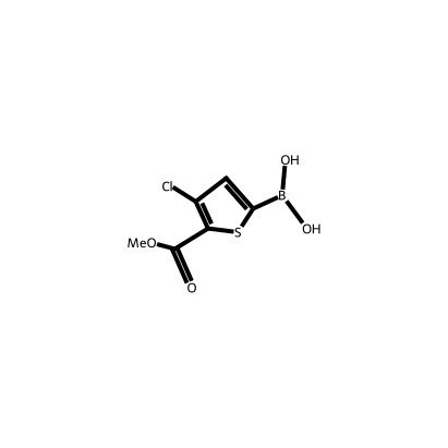 COC(=O)c1sc(B(O)O)cc1Cl